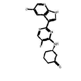 O=C1CCC[C@@H](Nc2nc(-c3c[nH]c4ncc(Cl)cc34)ncc2F)C1